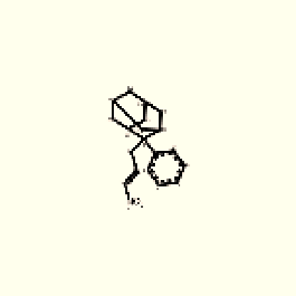 O=[N+]([O-])/C=C/CC1(c2ccccc2)C2CC3CC(C2)CC1C3